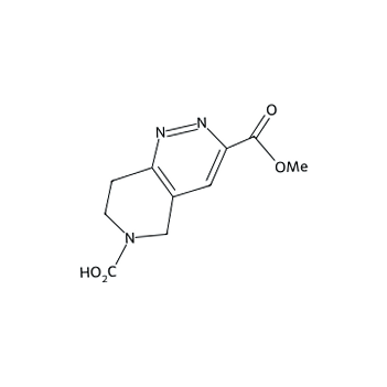 COC(=O)c1cc2c(nn1)CCN(C(=O)O)C2